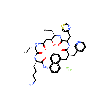 CC(C)C[C@H](NC(=O)C[C@H](O)[C@H](CC(C)C)NC(=O)C(Cc1cscn1)NC(=O)C(Cc1cccnc1)Cc1cccc2ccccc12)C(=O)N[C@@H](CCCCN)C(N)=O.F.F